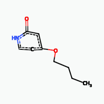 CCCCOc1cc[nH]c(=O)c1